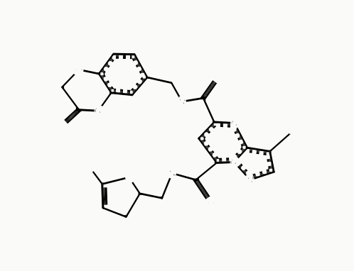 O=C1COc2ccc(CNC(=O)c3cc(C(=O)NCC4CC=C(C(=O)O)S4)n4ncc(F)c4n3)cc2N1